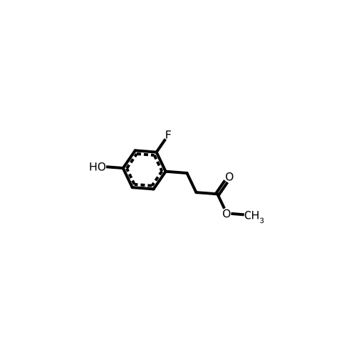 COC(=O)CCc1ccc(O)cc1F